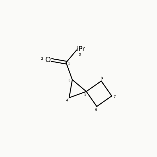 CC(C)C(=O)C1CC12CCC2